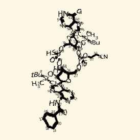 CC(C)(C)[Si](C)(C)O[C@H]1C(n2cnc3c(NC(=O)c4ccccc4)ncnc32)OC2COP(=S)(OCCC#N)O[C@@H]3C(COP(=O)(S)O[C@H]21)OC(n1cnc2c(=O)[nH]cnc21)[C@@H]3O[Si](C)(C)C(C)(C)C